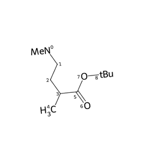 CNCCC(C)C(=O)OC(C)(C)C